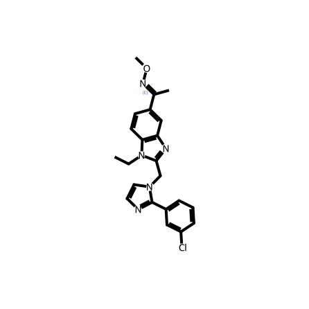 CCn1c(Cn2ccnc2-c2cccc(Cl)c2)nc2cc(/C(C)=N/OC)ccc21